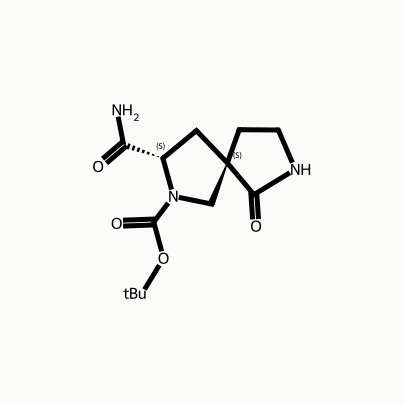 CC(C)(C)OC(=O)N1C[C@]2(CCNC2=O)C[C@H]1C(N)=O